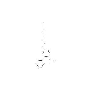 CCCCCCCCc1ccc(B(O)O)c(-c2ccccc2)c1